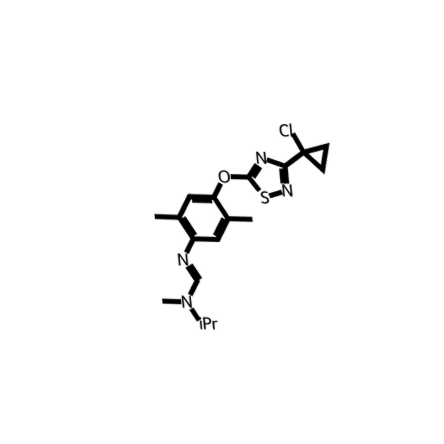 Cc1cc(Oc2nc(C3(Cl)CC3)ns2)c(C)cc1N=CN(C)C(C)C